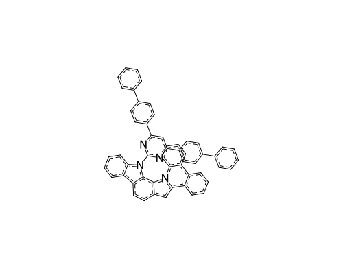 c1ccc(-c2ccc(-c3cc(-c4ccc(-c5ccccc5)cc4)nc(-n4c5ccccc5c5ccc6cc7c8ccccc8c8ccccc8n7c6c54)n3)cc2)cc1